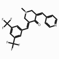 CN1CC(=Cc2ccncc2)C(=O)/C(=C/c2cc(C(F)(F)F)cc(C(F)(F)F)c2)C1